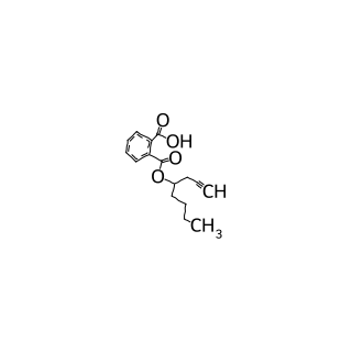 C#CCC(CCCC)OC(=O)c1ccccc1C(=O)O